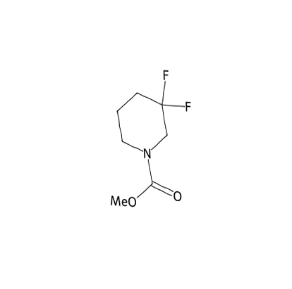 [CH2]OC(=O)N1CCCC(F)(F)C1